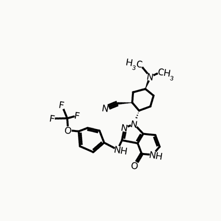 CN(C)[C@H]1CC[C@H](n2nc(Nc3ccc(OC(F)(F)F)cc3)c3c(=O)[nH]ccc32)[C@@H](C#N)C1